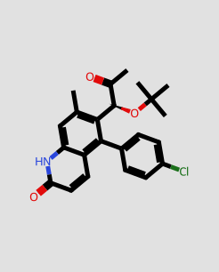 CC(=O)[C@@H](OC(C)(C)C)c1c(C)cc2[nH]c(=O)ccc2c1-c1ccc(Cl)cc1